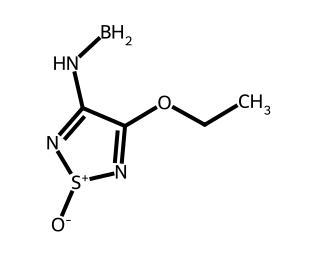 BNc1n[s+]([O-])nc1OCC